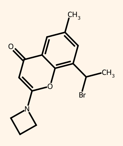 Cc1cc(C(C)Br)c2oc(N3CCC3)cc(=O)c2c1